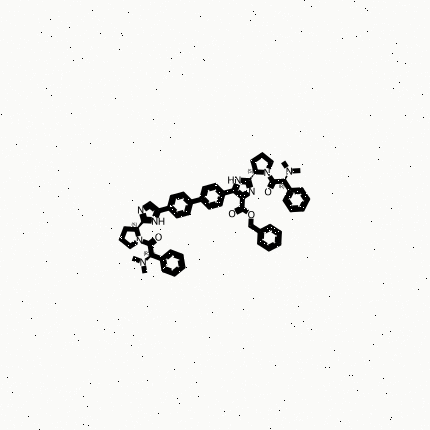 CN(C)[C@@H](C(=O)N1CCC[C@H]1c1ncc(-c2ccc(-c3ccc(-c4[nH]c([C@@H]5CCCN5C(=O)[C@@H](c5ccccc5)N(C)C)nc4C(=O)OCc4ccccc4)cc3)cc2)[nH]1)c1ccccc1